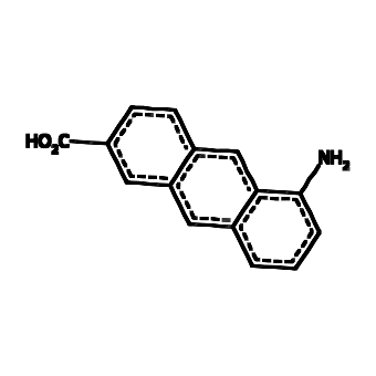 Nc1cccc2cc3cc(C(=O)O)ccc3cc12